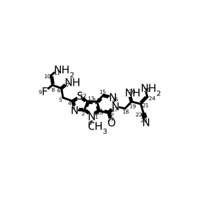 Cn1c2nc(CC(=N)/C(F)=C\N)sc2c2cnn(CC(=N)/C(C#N)=C\N)c(=O)c21